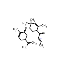 C/C=C/C(=O)C1CCC(C)(C)C=C1C.C=C(C)C1CC=C(C)C(=O)C1